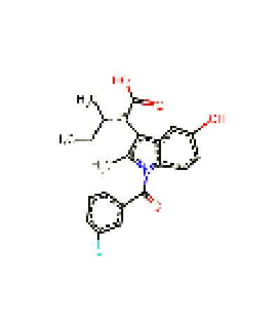 CCC(C)[C@H](C(=O)O)c1c(C)n(C(=O)c2cccc(F)c2)c2ccc(O)cc12